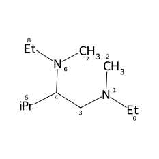 CCN(C)CC(C(C)C)N(C)CC